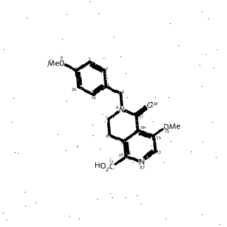 COc1ccc(CN2CCc3c(C(=O)O)ncc(OC)c3C2=O)cc1